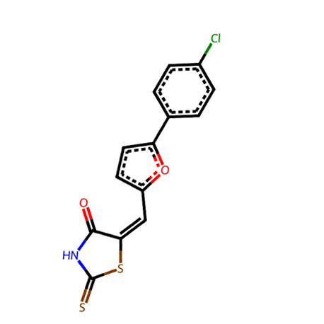 O=C1NC(=S)SC1=Cc1ccc(-c2ccc(Cl)cc2)o1